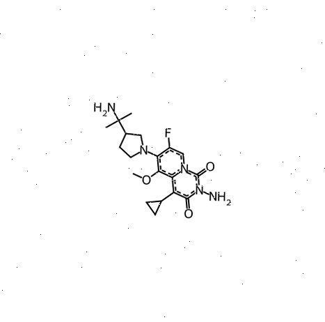 COc1c(N2CCC(C(C)(C)N)C2)c(F)cn2c(=O)n(N)c(=O)c(C3CC3)c12